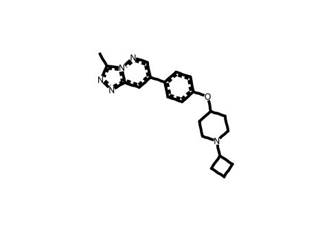 Cc1nnc2cc(-c3ccc(OC4CCN(C5CCC5)CC4)cc3)cnn12